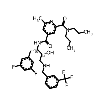 CCCN(CCC)C(=O)c1cc(C(=O)N[C@@H](Cc2cc(F)cc(F)c2)[C@H](O)CNCc2cccc(C(F)(F)F)c2)cc(C)n1